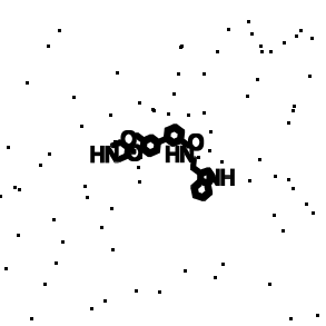 O=C(NCCc1c[nH]c2ccccc12)c1cccc(-c2ccc3c(c2)COC2(CCNCC2)O3)c1